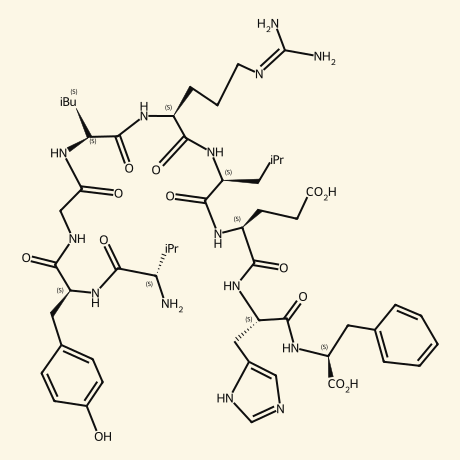 CC[C@H](C)[C@H](NC(=O)CNC(=O)[C@H](Cc1ccc(O)cc1)NC(=O)[C@@H](N)C(C)C)C(=O)N[C@@H](CCCN=C(N)N)C(=O)N[C@@H](CC(C)C)C(=O)N[C@@H](CCC(=O)O)C(=O)N[C@@H](Cc1cnc[nH]1)C(=O)N[C@@H](Cc1ccccc1)C(=O)O